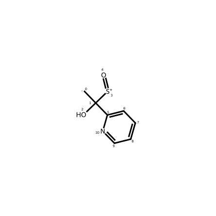 [CH2]C(O)([S+]=O)c1ccccn1